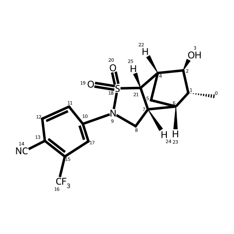 C[C@H]1[C@H](O)[C@@H]2C[C@H]1[C@@H]1CN(c3ccc(C#N)c(C(F)(F)F)c3)S(=O)(=O)[C@H]21